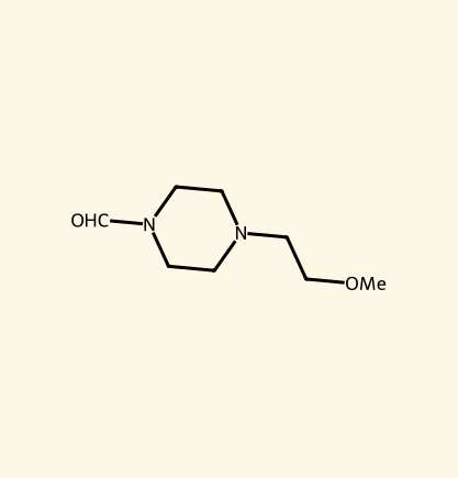 COCCN1CCN(C=O)CC1